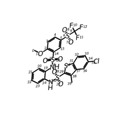 COc1ccc(S(=O)(=O)C(F)(F)F)cc1S(=O)(=O)Nc1ccccc1NS(=O)(=O)c1sc2ccc(Cl)cc2c1C